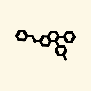 Cc1ccc(C2=C(c3ccccc3)CCc3cc(OCc4ccccc4)ccc32)cc1